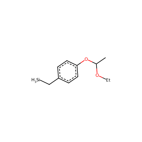 CCOC(C)Oc1ccc(C[SiH3])cc1